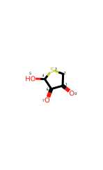 O=C1CS[C](O)C1=O